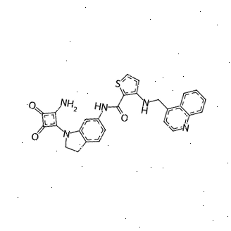 Nc1c(N2CCc3ccc(NC(=O)c4sccc4NCc4ccnc5ccccc45)cc32)c(=O)c1=O